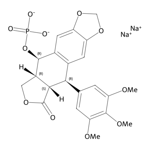 COc1cc([C@@H]2c3cc4c(cc3[C@H](OP(=O)([O-])[O-])[C@H]3COC(=O)[C@@H]23)OCO4)cc(OC)c1OC.[Na+].[Na+]